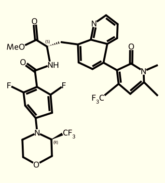 COC(=O)[C@H](Cc1ccc(-c2c(C(F)(F)F)cc(C)n(C)c2=O)c2cccnc12)NC(=O)c1c(F)cc(N2CCOC[C@@H]2C(F)(F)F)cc1F